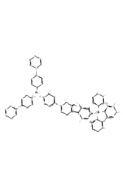 c1ccc(-c2ccc(N(c3ccc(-c4ccccc4)cc3)c3ccc(-c4ccc5c(c4)sc4c6c(ccc45)C4(c5ccccc5-c5ccccc54)c4ccccc4-6)cc3)cc2)cc1